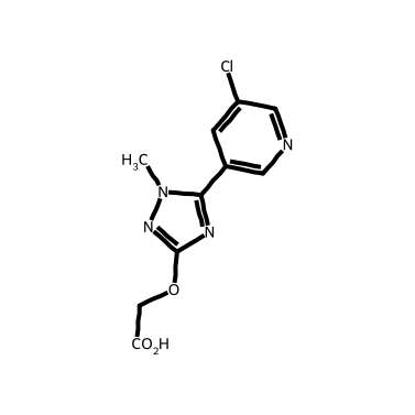 Cn1nc(OCC(=O)O)nc1-c1cncc(Cl)c1